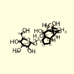 CC(C)(O)[C@H]1[C@@H]2OC(=O)[C@H]1[C@H]1CC[C@H](CO[C@@H]3O[C@H](CO)[C@@H](O)[C@H](O)[C@H]3O)[C@@]1(C)[C@H]2O